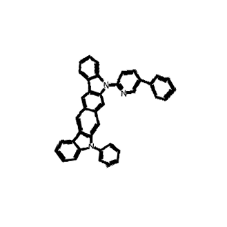 c1ccc(-c2ccc(-n3c4ccccc4c4cc5cc6c7ccccc7n(-c7ccccc7)c6cc5cc43)nc2)cc1